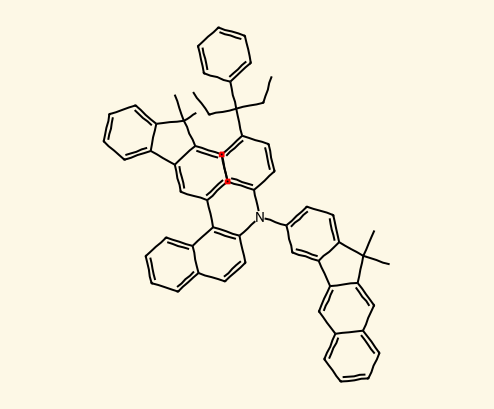 CCC(CC)(c1ccccc1)c1ccc(N(c2ccc3c(c2)-c2cc4ccccc4cc2C3(C)C)c2ccc3ccccc3c2-c2ccc3c(c2)-c2ccccc2C3(C)C)cc1